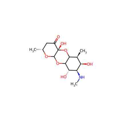 CN[C@@H]1[C@H](O)[C@H](C)C2O[C@@]3(O)C(=O)C[C@@H](C)OC3OC2[C@H]1O